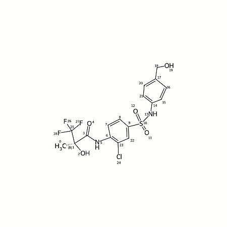 C[C@@](O)(C(=O)Nc1ccc(S(=O)(=O)Nc2ccc(CO)cc2)cc1Cl)C(F)(F)F